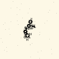 C=CC(=O)Nc1cc(NC(=O)c2ccc3sc4c(c3c2)NC[C@@H](C)NC4=O)ccc1N1CCN(C)CC1